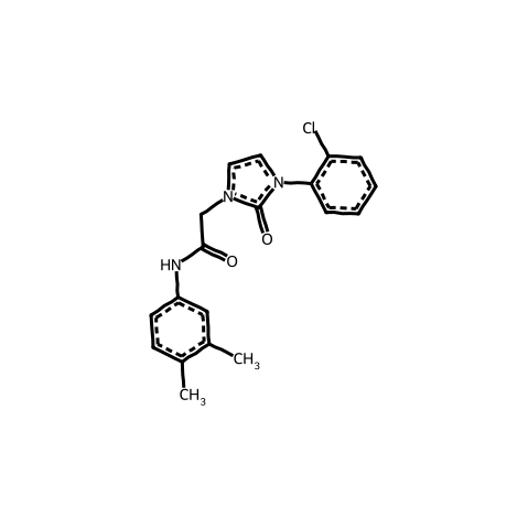 Cc1ccc(NC(=O)Cn2ccn(-c3ccccc3Cl)c2=O)cc1C